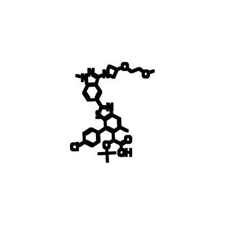 COCCOC1CN(c2nn(C)c3ccc(-c4nc5cc(C)c(C(OC(C)(C)C)C(=O)O)c(-c6ccc(Cl)cc6)c5s4)cc23)C1